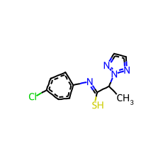 CC(C(S)=Nc1ccc(Cl)cc1)n1nccn1